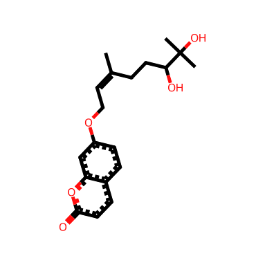 CC(=CCOc1ccc2ccc(=O)oc2c1)CCC(O)C(C)(C)O